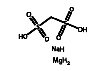 O=S(=O)(O)CS(=O)(=O)O.[MgH2].[NaH]